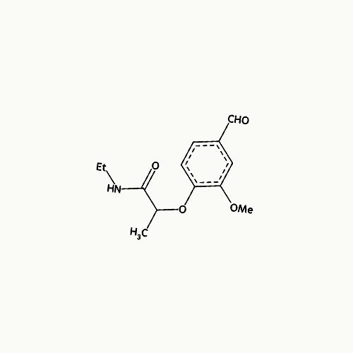 CCNC(=O)C(C)Oc1ccc(C=O)cc1OC